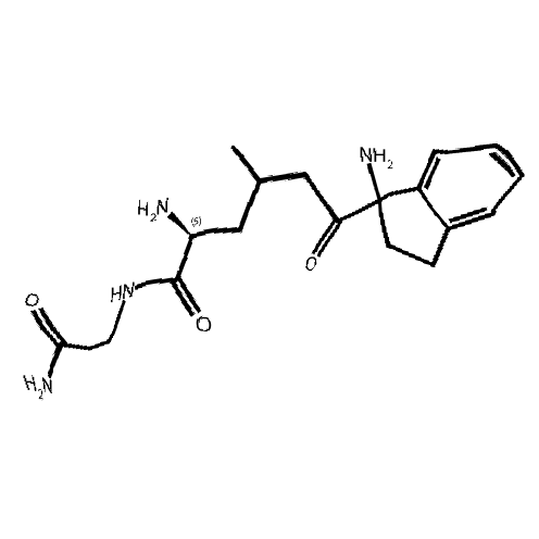 CC(CC(=O)C1(N)CCc2ccccc21)C[C@H](N)C(=O)NCC(N)=O